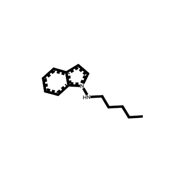 CCCCCNn1ccc2ccccc21